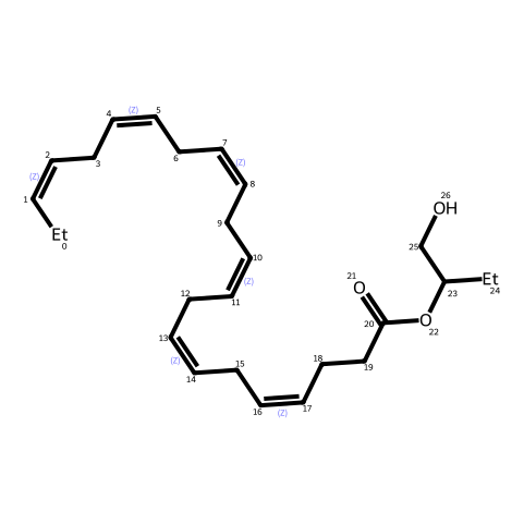 CC/C=C\C/C=C\C/C=C\C/C=C\C/C=C\C/C=C\CCC(=O)OC(CC)CO